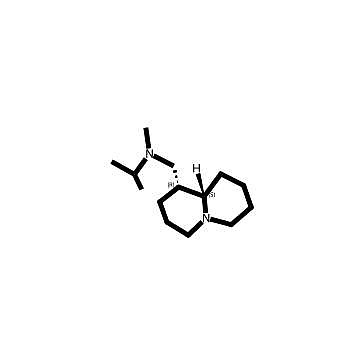 CC(C)N(C)C[C@H]1CCCN2CCCC[C@@H]12